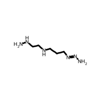 NN=NCCCNCCNN